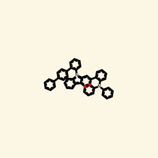 c1ccc(-c2ccc(-c3ccccc3-n3c4ccccc4c4ccc(-c5ccccc5N(c5ccccc5)c5ccccc5)cc43)cc2)cc1